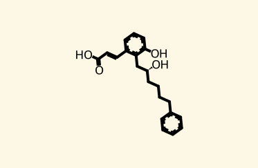 O=C(O)/C=C/c1cccc(O)c1C[C@H](O)CCCCc1ccccc1